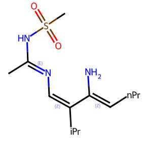 CCC/C=C(N)/C(=C\N=C(/C)NS(C)(=O)=O)C(C)C